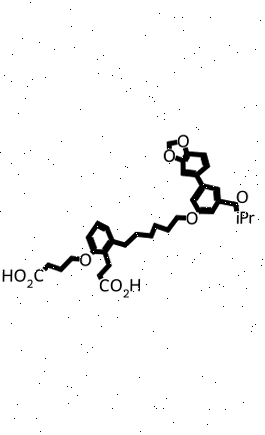 CC(C)C(=O)c1cc(OCCCCCCc2cccc(OCCCC(=O)O)c2CCC(=O)O)cc(-c2ccc3c(c2)OCO3)c1